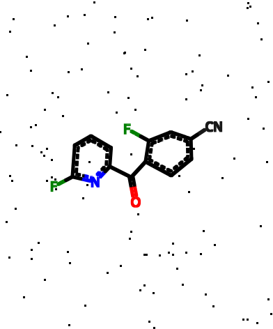 N#Cc1ccc(C(=O)c2cccc(F)n2)c(F)c1